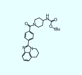 CC(C)(C)OC(=O)NC1CCN(C(=O)c2ccc(-c3nc4cccc5c4n3CCC5)cc2)CC1